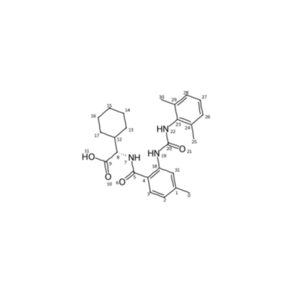 Cc1ccc(C(=O)N[C@H](C(=O)O)C2CCCCC2)c(NC(=O)Nc2c(C)cccc2C)c1